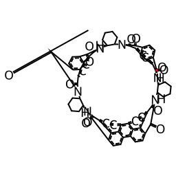 O=C1c2ccc3c4c5ccc(c24)C(=O)N1C1CCCC[C@H]1N1C(=O)c2ccc4c6c(ccc(c26)C1=O)C(=O)N(C4=O)C1CCCC[C@H]1N1C(=O)c2ccc4c6ccc7c8c(ccc(c9ccc(c2c49)C1=O)c86)C(=O)N(C7=O)[C@@H]1CCCC[C@H]1N(C3=O)C5=O